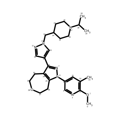 COc1ncc(-n2nc(-c3cnn(CC4CCN(C(C)C)CC4)c3)c3c2CCOCC3)cc1C